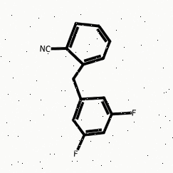 N#Cc1ccccc1Cc1cc(F)cc(F)c1